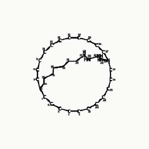 C1CCCCCC2CCCCCCCCCCCN(CCCCC1)NNNNCCCCCCC2